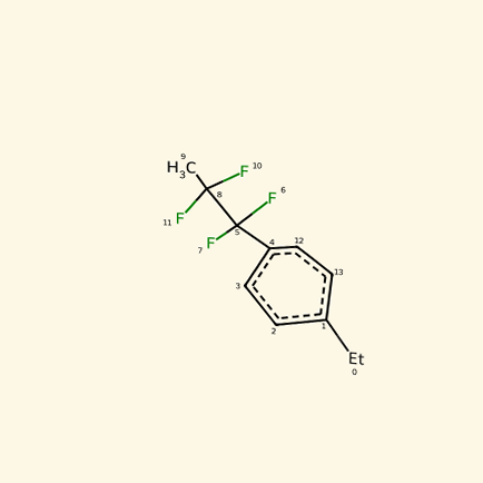 [CH2]Cc1ccc(C(F)(F)C(C)(F)F)cc1